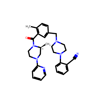 Cc1ccc(CN2CCN(c3ccccc3C#N)CC2)cc1C(=O)N1CCN(c2ccccn2)C[C@@H]1C